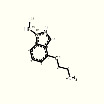 CCCOc1cccc2c1cnn2PI